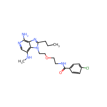 CCCc1nc2c(N)ncc(NC)c2n1CCOCCNC(=O)c1ccc(Cl)cc1